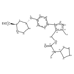 CCOC(=O)[C@H]1C[C@H](Oc2ccc(-c3onc(C)c3COC(=O)N(C)C3CCCC3)cc2)CCO1